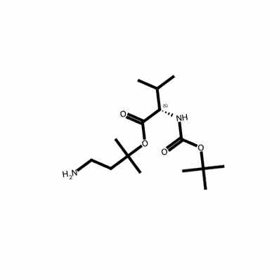 CC(C)[C@H](NC(=O)OC(C)(C)C)C(=O)OC(C)(C)CCN